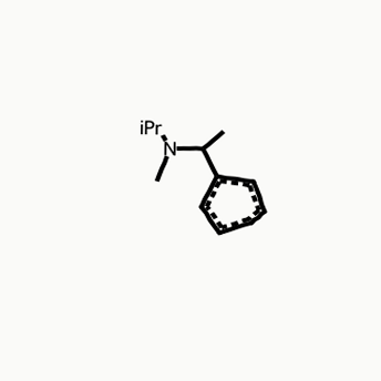 CC(C)N(C)C(C)c1ccccc1